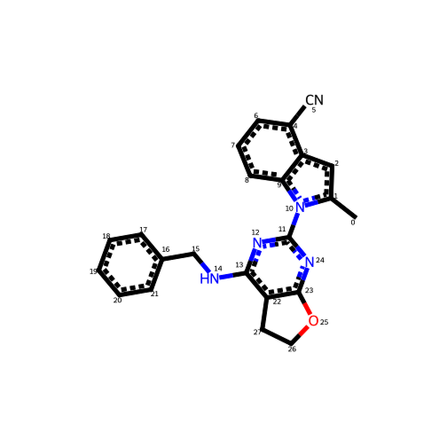 Cc1cc2c(C#N)cccc2n1-c1nc(NCc2ccccc2)c2c(n1)OCC2